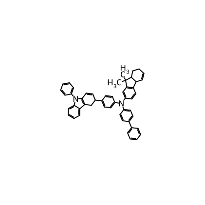 CC1(C)c2cc(N(c3ccc(-c4ccccc4)cc3)c3ccc(C4C=Cc5c(c6ccccc6n5-c5ccccc5)C4)cc3)ccc2C2C=CCCC21